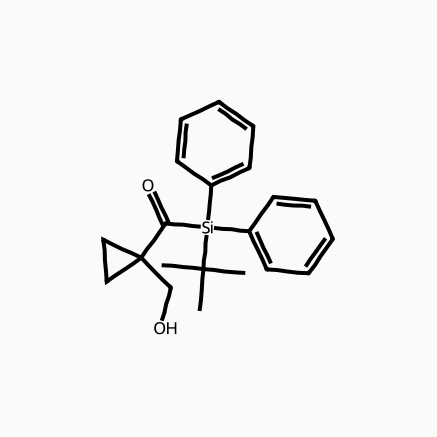 CC(C)(C)[Si](C(=O)C1(CO)CC1)(c1ccccc1)c1ccccc1